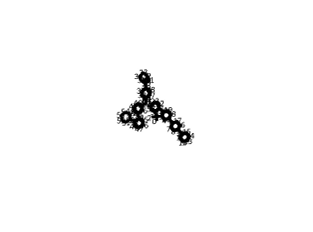 CC1(C)c2cc(-c3ccc(-c4ccccc4)cc3)ccc2-c2ccc(N(c3ccc(C4CC5CCC4C5)cc3)c3cccc(-c4ccccc4C4CCCCC4)c3)cc21